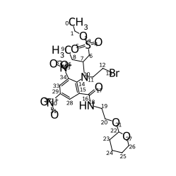 CCOS(=O)(=O)CC(CC)N(CCBr)c1c(C(=O)NCCOC2CCCCO2)cc([N+](=O)[O-])cc1[N+](=O)[O-]